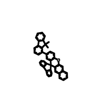 CC1(C)c2ccccc2-c2cccc(-c3ccc4c(c3)C3(c5cc6ccccc6cc5O4)c4ccccc4-c4ccccc43)c21